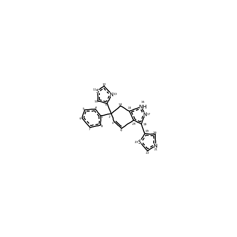 C1=CC(c2ccccc2)(c2cscn2)Cc2[nH]nc(-c3cncs3)c21